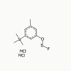 Cc1cc([O][Ti][F])cc([Si](C)(C)C)c1.Cl.Cl